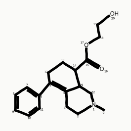 CN1CCC2=C(c3ccccc3)CCC(C(=O)OCCO)C2C1